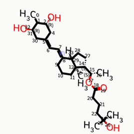 CC1[C@H](O)CC(=C/C=C2\CCC[C@]3(C)[C@@H]([C@H](C)OC(=O)CCCC(C)(C)O)CC[C@@H]23)C[C@H]1O